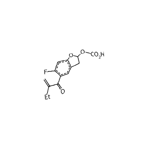 C=C(CC)C(=O)c1cc2c(cc1F)OC(OC(=O)O)C2